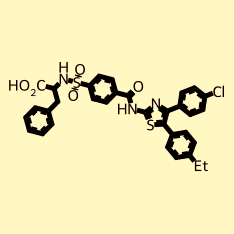 CCc1ccc(-c2sc(NC(=O)c3ccc(S(=O)(=O)NC(Cc4ccccc4)C(=O)O)cc3)nc2-c2ccc(Cl)cc2)cc1